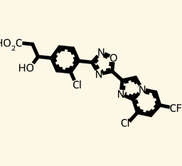 O=C(O)CC(O)c1ccc(-c2noc(-c3cn4cc(C(F)(F)F)cc(Cl)c4n3)n2)c(Cl)c1